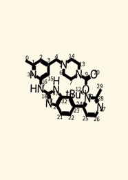 Cc1cc(CN2CCN(C(=O)OC(C)(C)C)CC2)cc(Nc2nc3ccc(-c4ccnc(C)n4)cc3[nH]2)n1